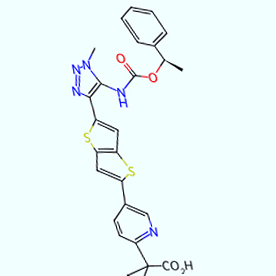 C[C@@H](OC(=O)Nc1c(-c2cc3sc(-c4ccc(C5(C(=O)O)CC5)nc4)cc3s2)nnn1C)c1ccccc1